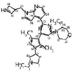 CCN1CCC(n2nc(C)c(-c3cc(N4CCOC[C@H]4C)nc(-c4ccnc5c4ccn5CC4CNC4)n3)c2C)C1